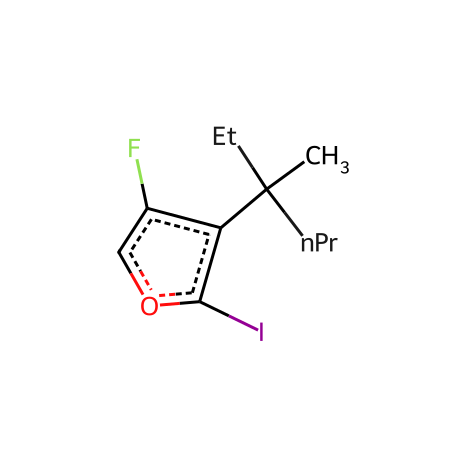 CCCC(C)(CC)c1c(F)coc1I